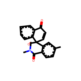 Cc1ccc2c(c1)C1(C=CC(=O)c3ccccc31)C(=O)N(C)C2=O